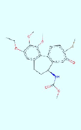 CCOc1cc2c(c(OC)c1OC)-c1ccc(SC)c(=O)cc1[C@@H](NC(=O)OC)CC2